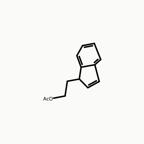 CC(=O)OCCC1C=Cc2ccccc21